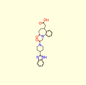 O=C(O)CC1CCC(=O)N(CC(=O)N2CCC(c3nc4ccccc4[nH]3)CC2)c2ccccc21